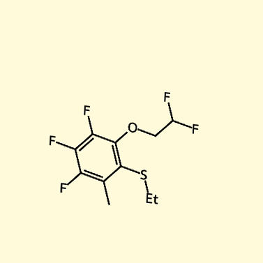 CCSc1c(C)c(F)c(F)c(F)c1OCC(F)F